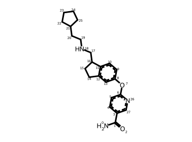 NC(=O)c1ccc(Oc2ccc3c(c2)CCC3CNCCC2CCCC2)nc1